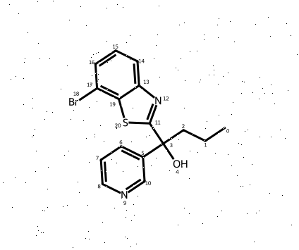 CCCC(O)(c1cccnc1)c1nc2cccc(Br)c2s1